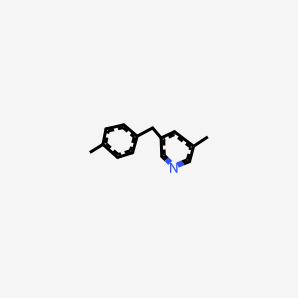 Cc1ccc(Cc2cncc(C)c2)cc1